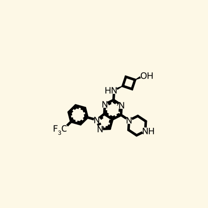 O[C@H]1C[C@@H](Nc2nc(N3CCNCC3)c3cnn(-c4cccc(C(F)(F)F)c4)c3n2)C1